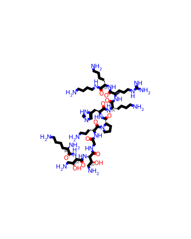 N=C(N)NCC/C=C(\NC(=O)[C@H](CCCCN)NC(=O)[C@H](Cc1cnc[nH]1)NC(=O)[C@@H]1CCCN1C(=O)[C@@H](CCCN)NC(=O)CNC(=O)[C@@H](NC(=O)[C@@H](NC(=O)[C@H](N)CCCCN)[C@@H](O)CN)[C@@H](O)CN)C(=O)N[C@@H](CCCCN)C(=O)NCCCCN